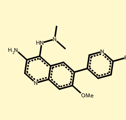 COc1cc2ncc(N)c(NN(C)C)c2cc1-c1ccc(F)nc1